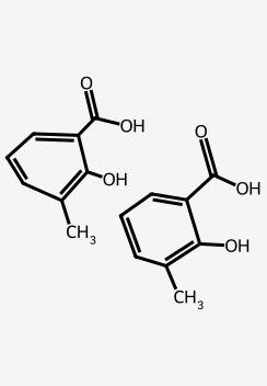 Cc1cccc(C(=O)O)c1O.Cc1cccc(C(=O)O)c1O